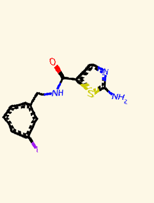 Nc1ncc(C(=O)NCc2cccc(I)c2)s1